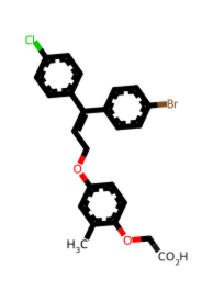 Cc1cc(OCC=C(c2ccc(Cl)cc2)c2ccc(Br)cc2)ccc1OCC(=O)O